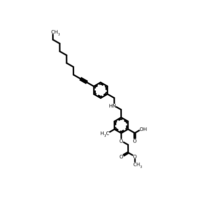 CCCCCCCCC#Cc1ccc(CNCc2cc(C)c(OCC(=O)OC)c(C(=O)O)c2)cc1